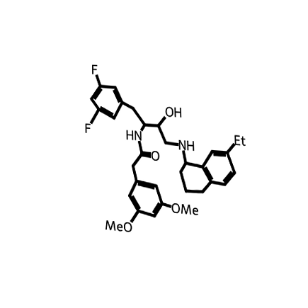 CCc1ccc2c(c1)C(NCC(O)C(Cc1cc(F)cc(F)c1)NC(=O)Cc1cc(OC)cc(OC)c1)CCC2